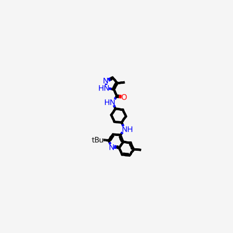 Cc1ccc2nc(C(C)(C)C)cc(NC3CCC(NC(=O)c4[nH]ncc4C)CC3)c2c1